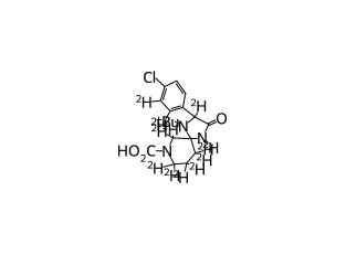 [2H]c1c(Cl)ccc(C2([2H])C(=O)N([2H])C3(N2C(C)(C)C)C([2H])([2H])N(C(=O)O)C([2H])([2H])C([2H])([2H])C3([2H])[2H])c1[2H]